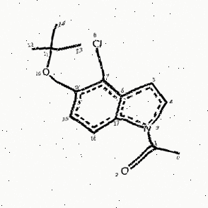 CC(=O)n1ccc2c(Cl)c(OC(C)(C)C)ccc21